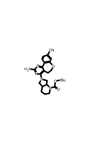 CC(C)(C)OC(=O)N1CCCC2CN(c3nc(N)nc4c3CCOc3cc(C#N)ccc3-4)CC21